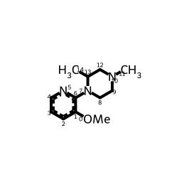 COc1cccnc1N1CCN(C)CC1C